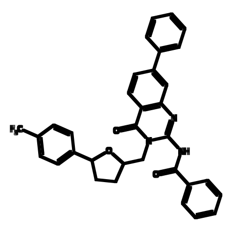 O=C(Nc1nc2cc(-c3ccccc3)ccc2c(=O)n1CC1CCC(c2ccc(C(F)(F)F)cc2)O1)c1ccccc1